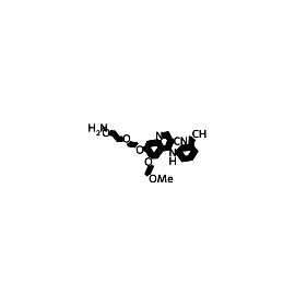 C#Cc1cccc(Nc2c(C#N)cnc3cc(OCCOCCON)c(OCCOC)cc23)c1